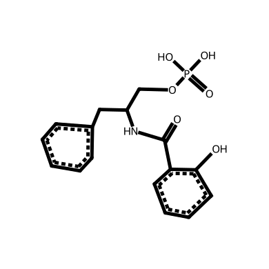 O=C(NC(COP(=O)(O)O)Cc1ccccc1)c1ccccc1O